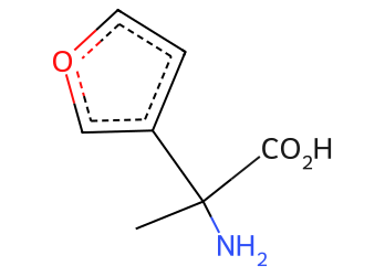 CC(N)(C(=O)O)c1ccoc1